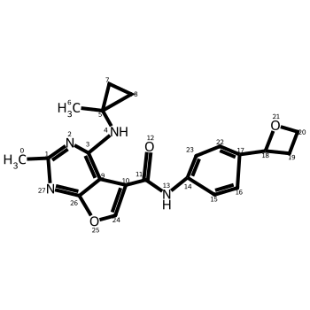 Cc1nc(NC2(C)CC2)c2c(C(=O)Nc3ccc(C4CCO4)cc3)coc2n1